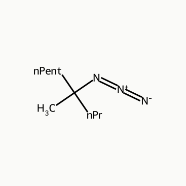 CCCCCC(C)(CCC)N=[N+]=[N-]